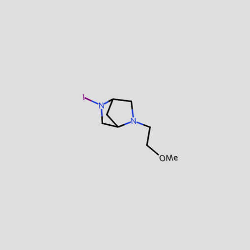 COCCN1CC2CC1CN2I